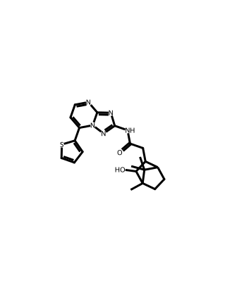 CC1(C)C2CCC1(C)C(O)C2CC(=O)Nc1nc2nccc(-c3cccs3)n2n1